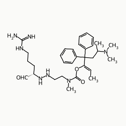 C/C=C(\OC(=O)N(C)CCNN[C@H](C=O)CCCNC(=N)N)C(CC(C)N(C)C)(c1ccccc1)c1ccccc1